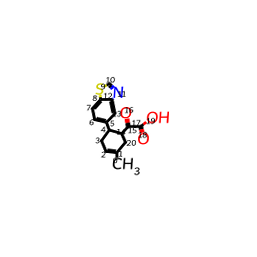 CC1=CCC(c2ccc3scnc3c2)C(C(=O)C(=O)O)C1